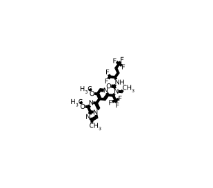 CCN(C(=O)NC(CCC(F)(F)F)C(F)F)C(c1cc(-c2cn3cc(C)nc3c(OC)n2)c(OC)cn1)C(F)(F)F